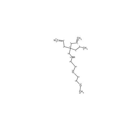 C=CCC(CC=C)(CCC)CNCCOCCOC